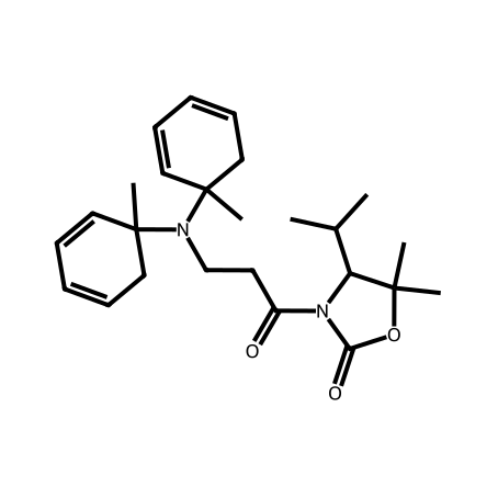 CC(C)C1N(C(=O)CCN(C2(C)C=CC=CC2)C2(C)C=CC=CC2)C(=O)OC1(C)C